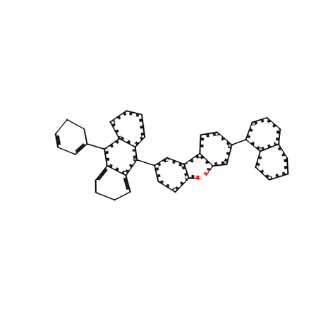 C1=CCCC(c2c3c(c(-c4ccc5oc6cc(-c7cccc8ccccc78)ccc6c5c4)c4ccccc24)=CCCC=3)=C1